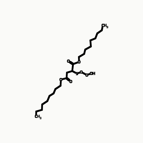 CCCCCCCCCOC(=O)CC(SOOO)C(=O)OCCCCCCCCC